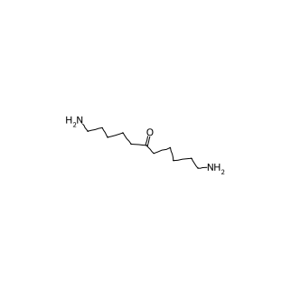 NCCCCCC(=O)CCCCCN